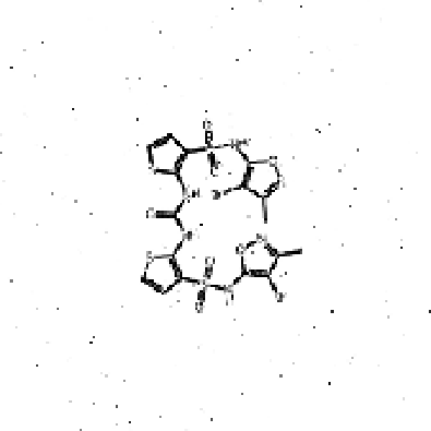 Cc1noc(NS(=O)(=O)c2ccsc2NC(=O)Nc2sccc2S(=O)(=O)Nc2onc(C)c2Br)c1Br